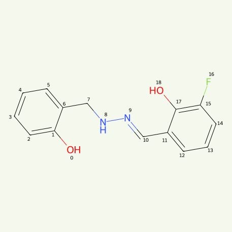 Oc1ccccc1CN/N=C/c1cccc(F)c1O